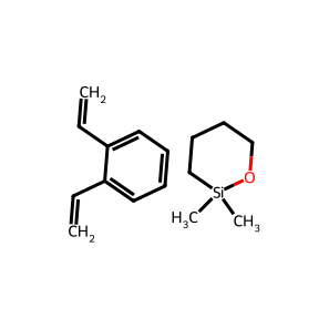 C=Cc1ccccc1C=C.C[Si]1(C)CCCCO1